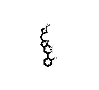 CC(=O)N1CC(Cc2cc3cc(-c4ccccc4O)nnc3[nH]2)C1